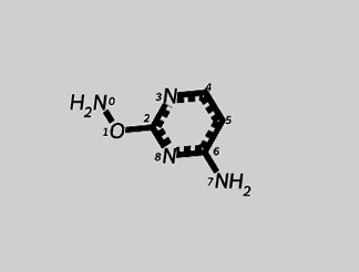 NOc1nccc(N)n1